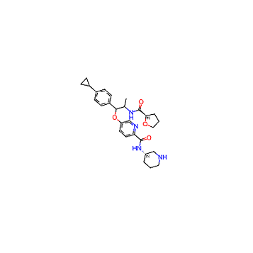 CC(NC(=O)[C@H]1CCCO1)C(Oc1ccc(C(=O)N[C@H]2CCCNC2)nc1)c1ccc(C2CC2)cc1